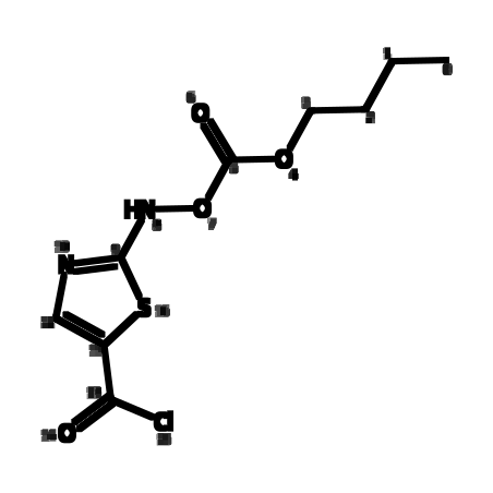 CCCCOC(=O)ONc1ncc(C(=O)Cl)s1